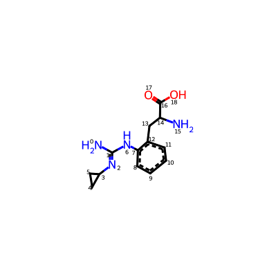 NC(=NC1CC1)Nc1ccccc1CC(N)C(=O)O